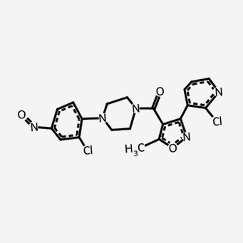 Cc1onc(-c2cccnc2Cl)c1C(=O)N1CCN(c2ccc(N=O)cc2Cl)CC1